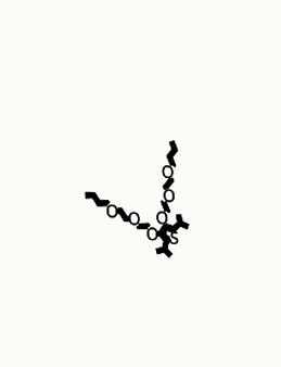 CCCCOCCOCCOc1c(C(C)C)sc(C(C)C)c1OCCOCCOCCCC